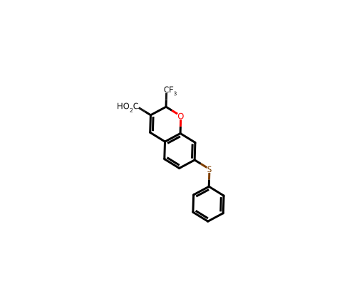 O=C(O)C1=Cc2ccc(Sc3ccccc3)cc2OC1C(F)(F)F